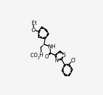 CCOc1cccc([C@H](CC(=O)O)NC(=O)c2csc(-c3ccccc3Cl)n2)c1